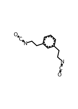 O=C=NCCc1cccc(CCN=C=O)c1